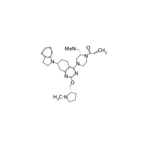 C=CC(=O)N1CCN(c2nc(OC[C@@H]3CCCN3C)nc3c2CCC(N2CCc4ccccc42)C3)C[C@@H]1CNC